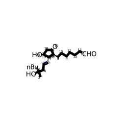 CCCCC(C)(O)C/C=C/[C@H]1[C@H](CCCCCCC=O)C(=O)C[C@@H]1O